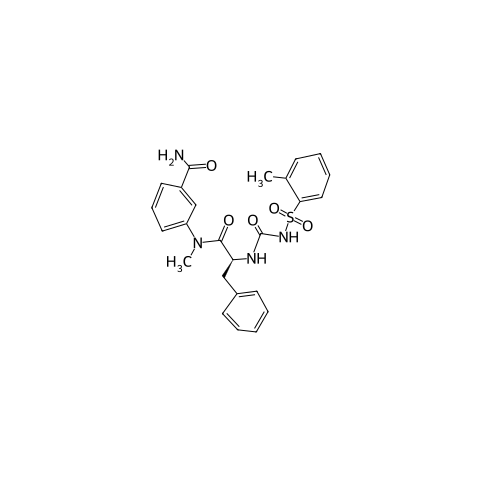 Cc1ccccc1S(=O)(=O)NC(=O)N[C@@H](Cc1ccccc1)C(=O)N(C)c1cccc(C(N)=O)c1